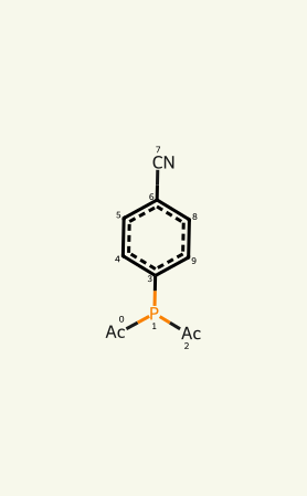 CC(=O)P(C(C)=O)c1ccc(C#N)cc1